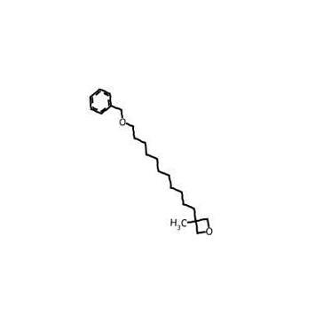 CC1(CCCCCCCCCCCOCc2ccccc2)COC1